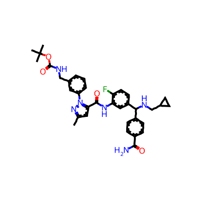 Cc1cc(C(=O)Nc2cc(C(NCC3CC3)c3ccc(C(N)=O)cc3)ccc2F)n(-c2cccc(CNC(=O)OC(C)(C)C)c2)n1